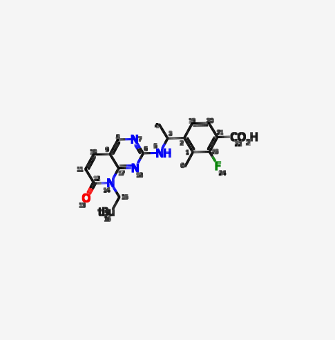 Cc1c(C(C)Nc2ncc3ccc(=O)n(CC(C)(C)C)c3n2)ccc(C(=O)O)c1F